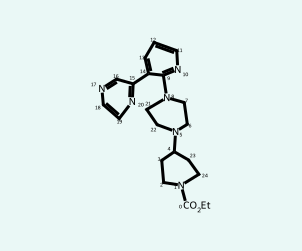 CCOC(=O)N1CCC(N2CCN(c3ncccc3-c3cnccn3)CC2)CC1